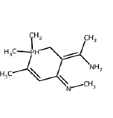 C/N=C1/C=C(C)[PH](C)(C)C/C1=C(\C)N